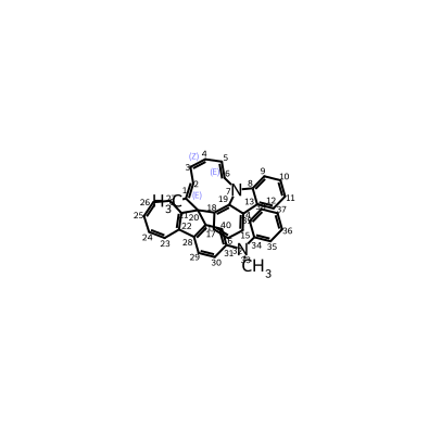 C\C1=C/C=C\C=C\n2c3ccccc3c3cccc(c32)C12C1=C(C=CC=CC1)c1ccc(N(C)c3ccccc3)cc12